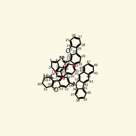 C[C@@H]1C/C=C(c2cccc3ccccc23)/N=C(c2cccc3c2oc2ccccc23)\N=C/1c1cc(-n2c3ccccc3c3cc4ccccc4cc32)cc2oc3c(c12)CCCC3